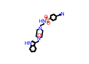 N#Cc1ccc(S(=O)(=O)NCCN2CC3CN(Cc4c[nH]c5ccccc45)CC(C2)O3)cc1